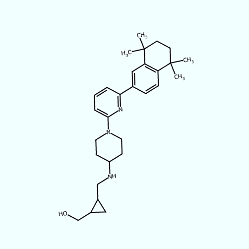 CC1(C)CCC(C)(C)c2cc(-c3cccc(N4CCC(NCC5CC5CO)CC4)n3)ccc21